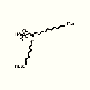 CCCCCCCCCCCCCCCCCCOC[C@H](COP(=O)(O)O)OCCCCCCCCCCCCCCCCCC